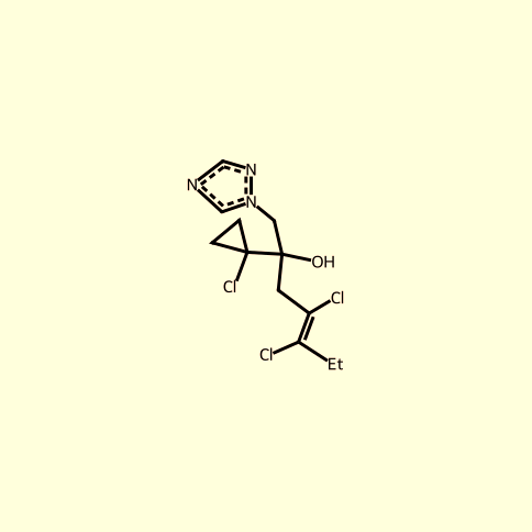 CCC(Cl)=C(Cl)CC(O)(Cn1cncn1)C1(Cl)CC1